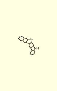 CC1(C)c2cc3ccccc3cc2-c2cc3c(cc21)[nH]c1ccccc13